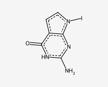 Nc1nc2c(ccn2I)c(=O)[nH]1